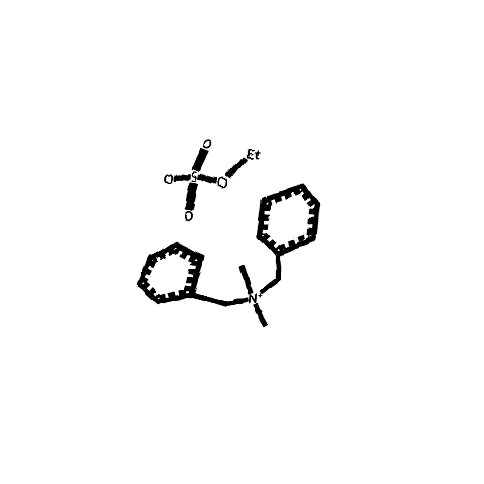 CCOS(=O)(=O)[O-].C[N+](C)(Cc1ccccc1)Cc1ccccc1